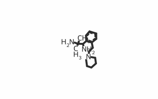 CC(C)(N)C(N)c1ccccc1CCN1CCCCC1